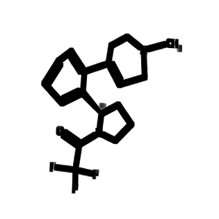 CN1CC=C(c2ccccc2[C@H]2CCCN2C(=O)C(F)(F)F)CC1